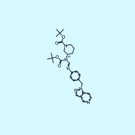 CC(C)(C)OC(=O)N1CCC[C@@H](N(C=Nc2ccc(Cn3ncc4cnccc43)cc2)C(=O)OC(C)(C)C)C1